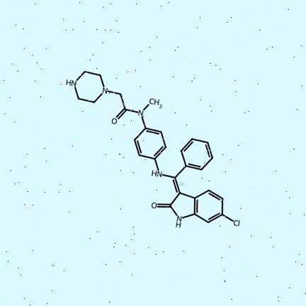 CN(C(=O)CN1CCNCC1)c1ccc(N/C(=C2\C(=O)Nc3cc(Cl)ccc32)c2ccccc2)cc1